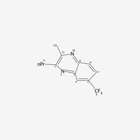 CCCc1nc2cc(C(F)(F)F)ccc2nc1C